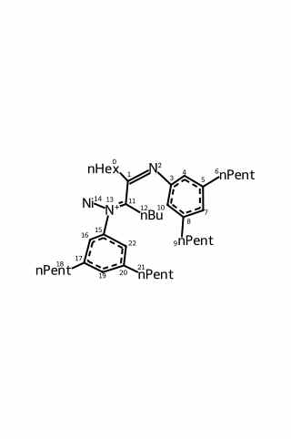 CCCCCCC(=Nc1cc(CCCCC)cc(CCCCC)c1)C(CCCC)=[N+]([Ni])c1cc(CCCCC)cc(CCCCC)c1